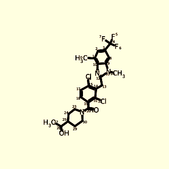 Cc1cc(C(F)(F)F)cc2c1nc(Cc1c(Cl)ccc(C(=O)N3CCC(C(C)O)CC3)c1Cl)n2C